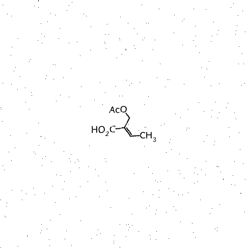 C/C=C(\COC(C)=O)C(=O)O